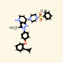 O=C(O)c1c2c(nn1-c1ccc(Oc3ccccc3C3CC3)cc1)[C@H](N1CCN(S(=O)(=O)c3ccccc3[N+](=O)[O-])CC1)CCN2